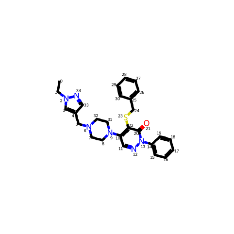 CCn1cc(CN2CCN(c3cnn(-c4ccccc4)c(=O)c3SCc3ccccc3)CC2)cn1